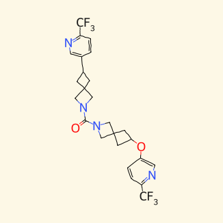 O=C(N1CC2(CC(Oc3ccc(C(F)(F)F)nc3)C2)C1)N1CC2(CC(c3ccc(C(F)(F)F)nc3)C2)C1